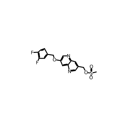 CS(=O)(=O)OCc1cnc2cc(OCc3ccc(F)c(F)c3)cnc2c1